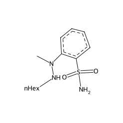 CCCCCCNN(C)c1ccccc1S(N)(=O)=O